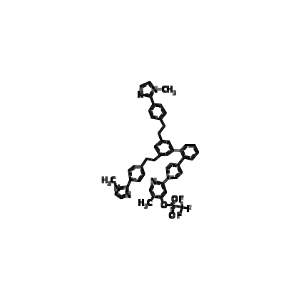 Cc1cnc(-c2ccc(-c3ccccc3-c3cc(CCc4ccc(-c5nccn5C)cc4)cc(CCc4ccc(-c5nccn5C)cc4)c3)cc2)cc1OS(=O)(=O)C(F)(F)F